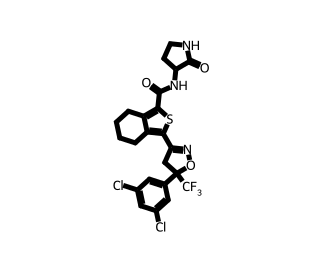 O=C(NC1CCNC1=O)c1sc(C2=NOC(c3cc(Cl)cc(Cl)c3)(C(F)(F)F)C2)c2c1CCCC2